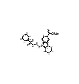 COC(=O)c1ccc2c(c1)c1c(n2CCCS(=O)(=O)c2ccccc2)CCCC1